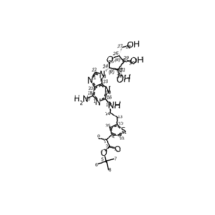 CC(C(=O)OC(C)(C)C)c1csc(CCNc2nc(N)c3ncn([C@@H]4O[C@H](CO)[C@@H](O)[C@H]4O)c3n2)c1